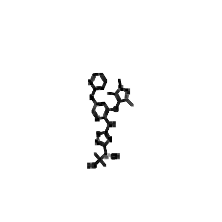 Cc1nn(C)c(C)c1Oc1cc(Sc2ccccn2)cnc1Nc1nc([C@H](O)C(C)(C)O)ns1